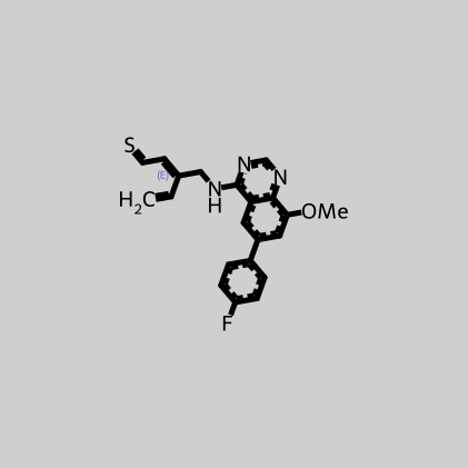 C=C/C(=C\C=S)CNc1ncnc2c(OC)cc(-c3ccc(F)cc3)cc12